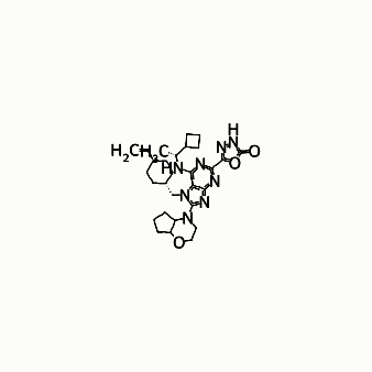 C=C[C@H]1CC[C@H](Cn2c(N3CCOC4CCCC43)nc3nc(-c4n[nH]c(=O)o4)nc(N[C@H](C)C4CCC4)c32)CC1